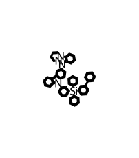 C1=CN2c3ccccc3N(c3ccc4c(c3)c3ccccc3n4-c3cccc([Si](c4ccccc4)(c4ccccc4)c4cccc(-c5ccccc5)c4)c3)N2C=C1